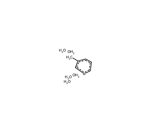 Cc1cccnc1.O.O.O.O.O